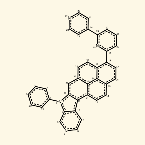 c1ccc(-n2c3cnccc3c3c4ccc5ccc(-c6cccc(-c7ccncc7)n6)c6ccc(cc32)c4c56)cc1